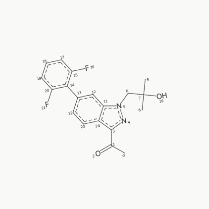 CC(=O)c1nn(CC(C)(C)O)c2cc(-c3c(F)cccc3F)ccc12